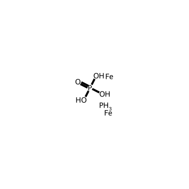 O=P(O)(O)O.P.[Fe].[Fe]